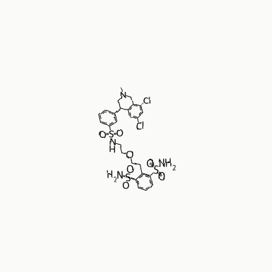 CN1Cc2c(Cl)cc(Cl)cc2C(c2cccc(S(=O)(=O)NCCOCCc3c(S(N)(=O)=O)cccc3S(N)(=O)=O)c2)C1